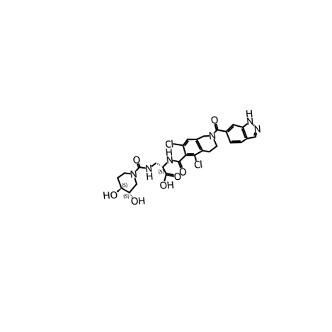 O=C(N[C@@H](CNC(=O)N1CC[C@H](O)[C@@H](O)C1)C(=O)O)c1c(Cl)cc2c(c1Cl)CCN(C(=O)c1ccc3cn[nH]c3c1)C2